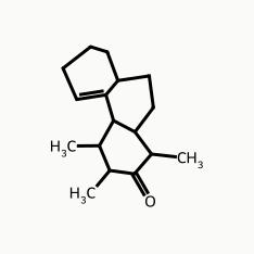 CC1C(=O)C(C)C2CCC3CCCC=C3C2C1C